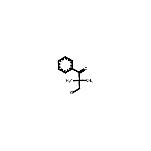 CC(C)(CCl)C(=O)c1ccccc1